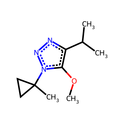 COc1c(C(C)C)nnn1C1(C)CC1